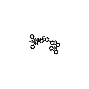 c1ccc(C2=NC(c3ccc4c(c3)oc3ccc(-c5ccc6c(c5)sc5cccc(-n7c8ccccc8c8ccccc87)c56)cc34)NC(c3ccccc3)N2)cc1